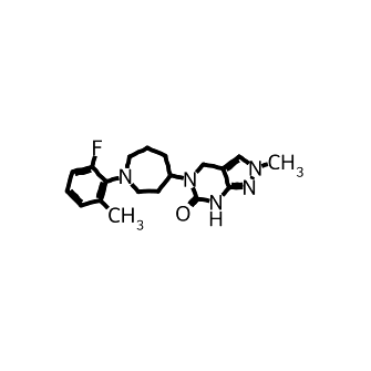 Cc1cccc(F)c1N1CCCC(N2Cc3cn(C)nc3NC2=O)CC1